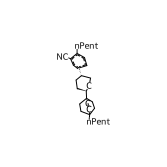 CCCCCc1ccc([C@H]2CC[C@H](C34CCC(CCCCC)(CC3)CC4)CC2)cc1C#N